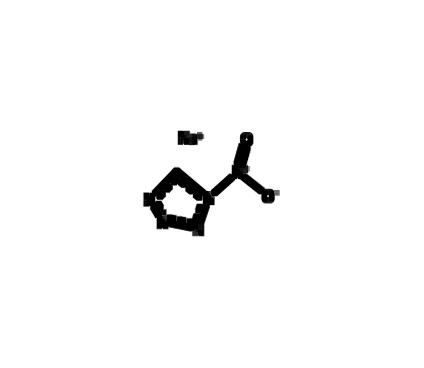 O=[N+]([O-])n1cnnn1.[Na+]